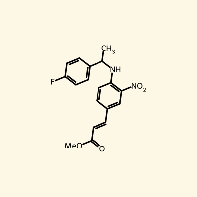 COC(=O)/C=C/c1ccc(NC(C)c2ccc(F)cc2)c([N+](=O)[O-])c1